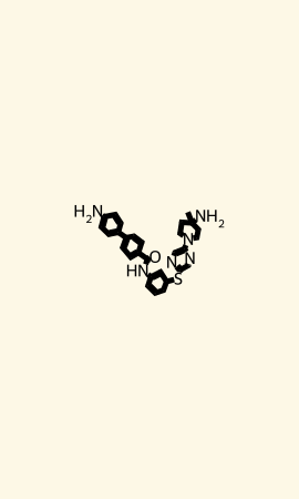 CC1(N)CCN(c2cnc(SC3C=C(NC(=O)c4ccc(-c5ccc(N)cc5)cc4)C=CC3)cn2)CC1